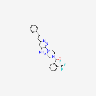 Nc1cc(C=Cc2ccccc2)nnc1N1CCN(C(=O)c2ccccc2C(F)(F)F)CC1